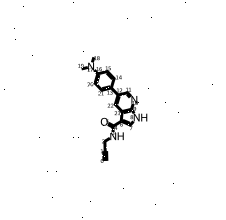 C#CCNC(=O)c1c[nH]c2ncc(-c3ccc(N(C)C)cc3)cc12